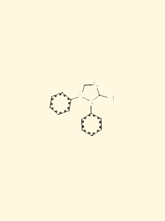 SC1NCN(c2ccccc2)N1c1ccccc1